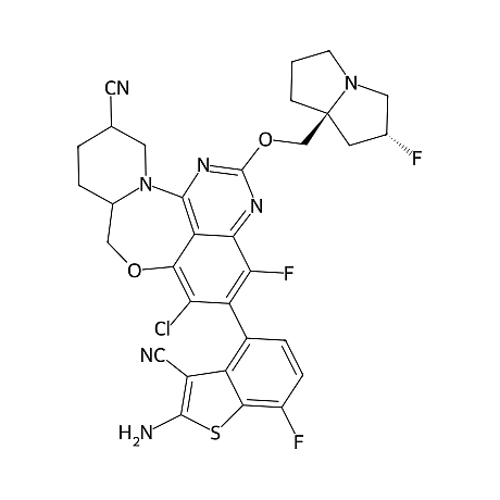 N#Cc1c(N)sc2c(F)ccc(-c3c(Cl)c4c5c(nc(OC[C@@]67CCCN6C[C@H](F)C7)nc5c3F)N3CC(C#N)CCC3CO4)c12